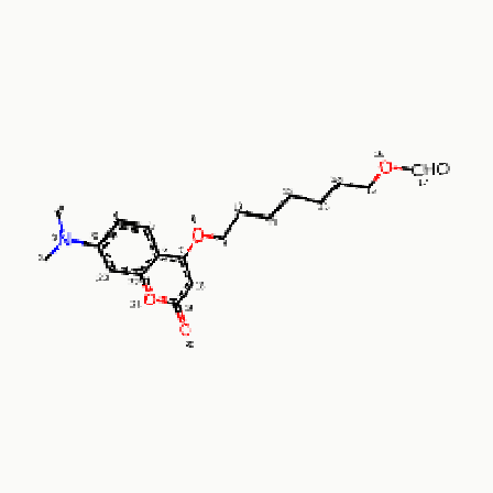 CN(C)c1ccc2c(OCCCCCCCOC=O)cc(=O)oc2c1